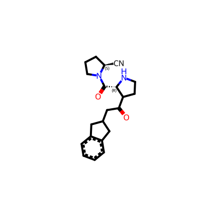 N#C[C@@H]1CCCN1C(=O)[C@@H]1NCCC1C(=O)CC1Cc2ccccc2C1